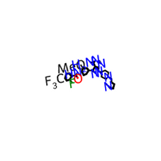 COc1cc(-c2nn(C3CCN(Cc4cccn4C)CC3)c3ncnc(N)c23)ccc1NC(=O)c1ccc(C(F)(F)F)cc1F